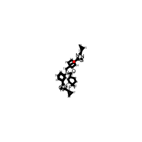 O=C(C1CCC(F)(F)CC1)N(CC12CCC(c3nc(C4CC4)no3)(CC1)CC2)c1cccc(-c2nc(C3CC3)no2)c1